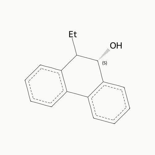 CCC1c2ccccc2-c2ccccc2[C@H]1O